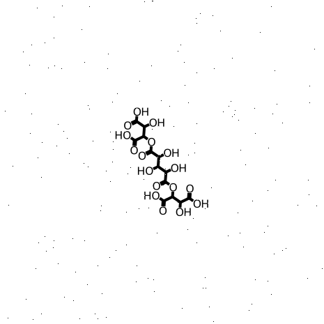 O=C(O)C(O)C(OC(=O)C(O)C(O)C(O)C(=O)OC(C(=O)O)C(O)C(=O)O)C(=O)O